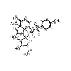 CC(=O)OC12N=C(O)N([C@]3(C)O[C@H](CO)[C@@H](O)[C@H]3O)C1(OC(C)=O)N(OS(=O)(=O)c1ccc(C)cc1)C=NC2=N